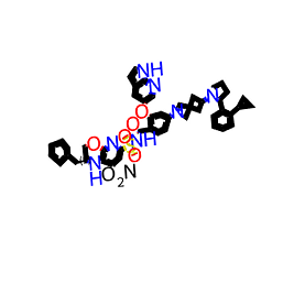 O=C(NS(=O)(=O)c1cc([N+](=O)[O-])c2c(n1)OC[C@H](Cc1ccccc1)N2)c1ccc(N2CC3(CC(N4CCCC4c4ccccc4C4CC4)C3)C2)cc1Oc1cnc2[nH]ccc2c1